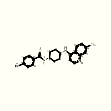 O=C(N[C@H]1CC[C@@H](Nc2ccnc3cc(Cl)ccc23)CC1)c1ccc(Br)cc1